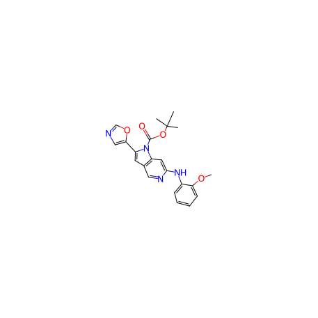 COc1ccccc1Nc1cc2c(cn1)cc(-c1cnco1)n2C(=O)OC(C)(C)C